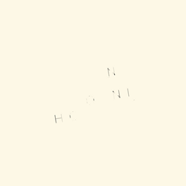 CCOc1cccnc1N